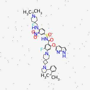 CC(C)c1ccccc1C1CCCN1C1CC2(CCN(c3cc(Oc4cnc5[nH]ccc5c4)c(C(=O)N[S+]([O-])c4ccc(NCC5(F)CCN(C(C)C)CC5)c([N+](=O)[O-])c4)cc3F)CC2)C1